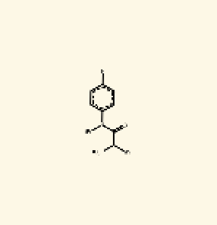 CC(C)C(C(=O)O)C(=O)N(c1ccc(F)cc1)C(C)C